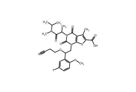 COc1ccc(F)cc1C(Cn1c(=O)n(C(C)C(=O)N(C)C(C)C)c(=O)c2c(C)c(C(=O)O)sc21)OCCC#N